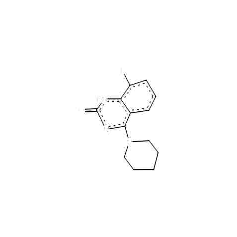 O=c1nc(N2CCCCC2)c2cccc(F)c2[nH]1